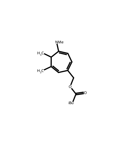 CCC(C)C(=O)OCC1=CC=C(NC)C(C)C(C)=C1